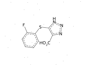 O=C(O)c1nn[nH]c1Sc1ccccc1F